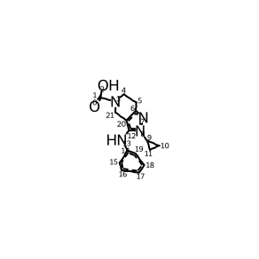 O=C(O)N1CCc2nn(C3CC3)c(Nc3ccccc3)c2C1